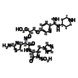 N=C(NC1CCNCC1)c1ccc(OCC(O/N=C(\C(=O)N[C@@H]2C(=O)N(S(=O)(=O)O)[C@@H]2Cn2cncn2)c2csc(N)n2)C(=O)O)cn1